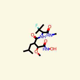 CNC(=O)C(NC(=O)C(CC(C)C)C(OC)C(=O)NO)C(C)(C)F